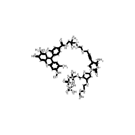 CCNc1cc2c(cc1C)C(c1ccc(C(=O)NCC(C)(C)SSCOCC#Cc3cn([C@H]4CC(OCSSC(C)(C)C)[C@@H](COP(=O)(O)OP(=O)(O)OP(=O)(O)O)O4)c(=O)nc3N)cc1C(=O)O)C1C=C(C)C(=N)C=C1O2